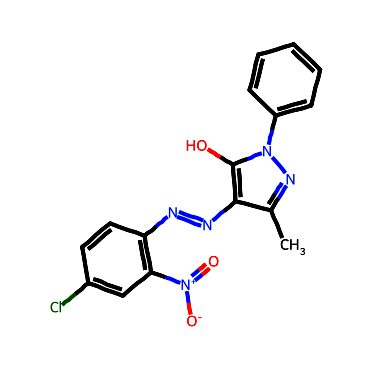 Cc1nn(-c2ccccc2)c(O)c1N=Nc1ccc(Cl)cc1[N+](=O)[O-]